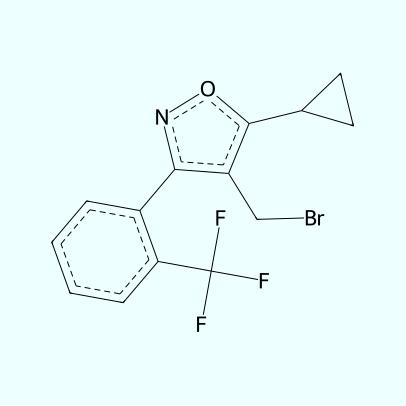 FC(F)(F)c1ccccc1-c1noc(C2CC2)c1CBr